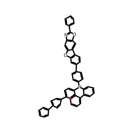 c1ccc(-c2ccc(-c3ccc(N(c4ccc(-c5ccc6c(c5)oc5cc7nc(-c8ccccc8)oc7cc56)cc4)c4ccccc4-c4ccccc4)cc3)cc2)cc1